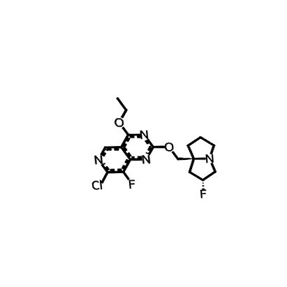 CCOc1nc(OC[C@@]23CCCN2C[C@H](F)C3)nc2c(F)c(Cl)ncc12